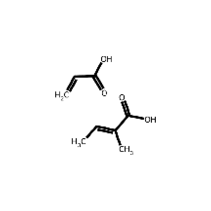 C/C=C(\C)C(=O)O.C=CC(=O)O